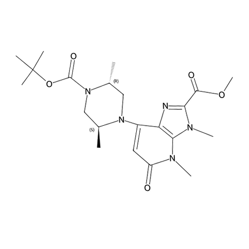 COC(=O)c1nc2c(N3C[C@@H](C)N(C(=O)OC(C)(C)C)C[C@@H]3C)cc(=O)n(C)c2n1C